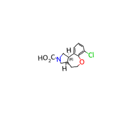 O=C(O)N1C[C@@H]2CCOc3c(Cl)cccc3[C@@H]2C1